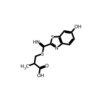 CC(CSC(=N)c1nc2ccc(O)cc2s1)C(=O)O